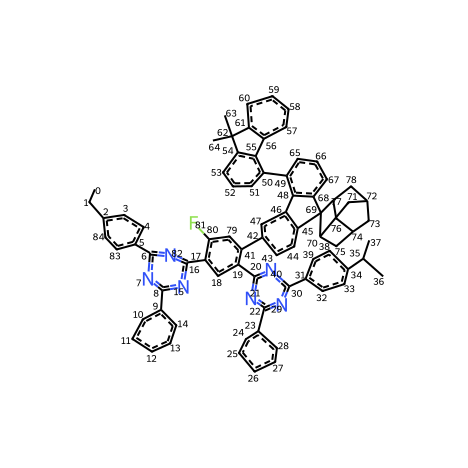 CCc1ccc(-c2nc(-c3ccccc3)nc(-c3cc(-c4nc(-c5ccccc5)nc(-c5ccc(C(C)C)cc5)n4)c(-c4ccc5c(c4)-c4c(-c6cccc7c6-c6ccccc6C7(C)C)cccc4C54C5CC6CC(C5)CC4C6)cc3F)n2)cc1